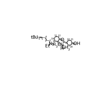 CCN(C/C=C/C#CC(C)(C)C)Cc1cccc(OC(c2ccc(O)cc2)[SiH](C)C)c1